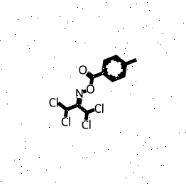 Cc1ccc(C(=O)ON=C(C(Cl)Cl)C(Cl)Cl)cc1